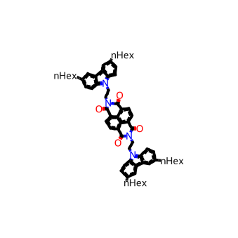 CCCCCCc1ccc2c(c1)c1cc(CCCCCC)ccc1n2CCN1C(=O)c2ccc3c4c(ccc(c24)C1=O)C(=O)N(CCn1c2ccc(CCCCCC)cc2c2cc(CCCCCC)ccc21)C3=O